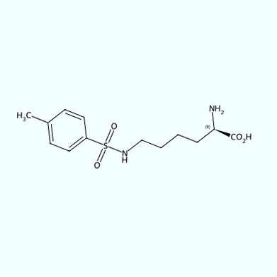 Cc1ccc(S(=O)(=O)NCCCC[C@@H](N)C(=O)O)cc1